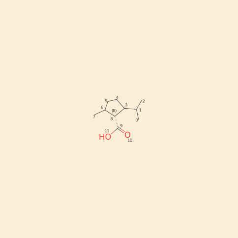 CC(C)C1CCC(C)[C@H]1C(=O)O